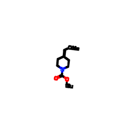 COC=C1CCN(C(=O)OC(C)(C)C)CC1